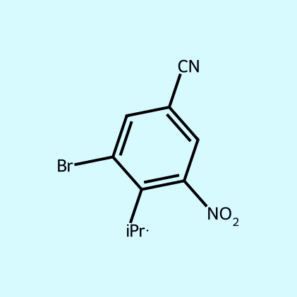 C[C](C)c1c(Br)cc(C#N)cc1[N+](=O)[O-]